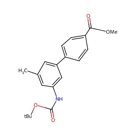 COC(=O)c1ccc(-c2cc(C)cc(NC(=O)OC(C)(C)C)c2)cc1